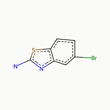 [N]c1nc2cc(Br)ccc2s1